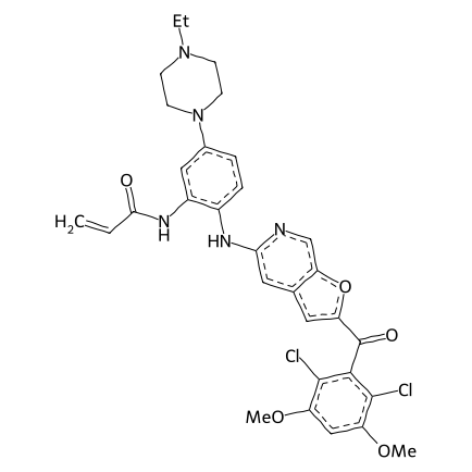 C=CC(=O)Nc1cc(N2CCN(CC)CC2)ccc1Nc1cc2cc(C(=O)c3c(Cl)c(OC)cc(OC)c3Cl)oc2cn1